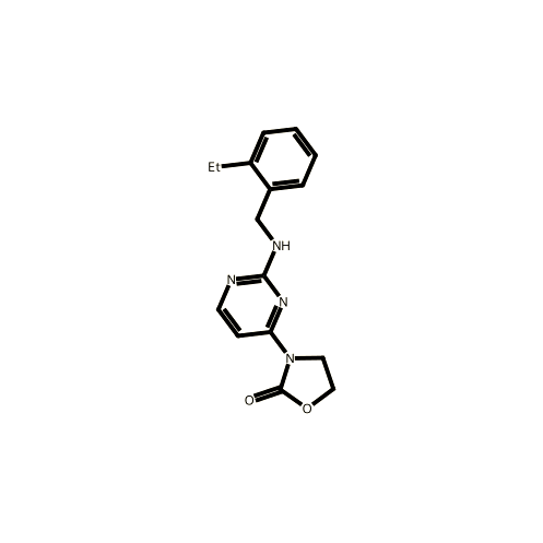 CCc1ccccc1CNc1nccc(N2CCOC2=O)n1